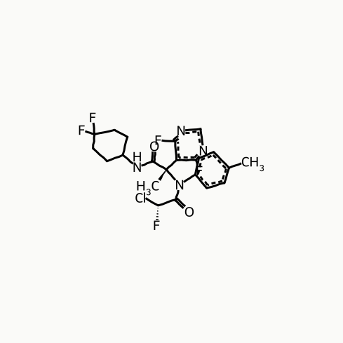 Cc1ccc(N(C(=O)[C@H](F)Cl)[C@](C)(C(=O)NC2CCC(F)(F)CC2)c2c(F)ncnc2F)cc1